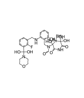 BC1(B)C(O)(O)C(=O)NC(=O)C1(O)N(C=O)Cc1c(C)cccc1NCc1cccc(C(O)(O)N2CCOCC2)c1F